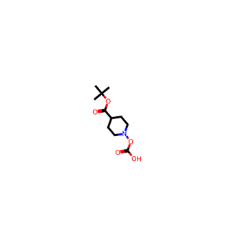 CC(C)(C)OC(=O)C1CCN(OC(=O)O)CC1